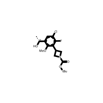 COc1c([C@@H](C)O)cc(Cl)c(F)c1C1CN(C(=O)OC(C)(C)C)C1